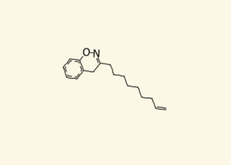 C=CCCCCCCCC1=NOc2ccccc2C1